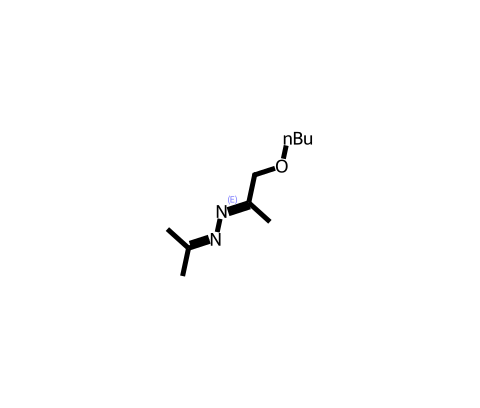 CCCCOC/C(C)=N/N=C(C)C